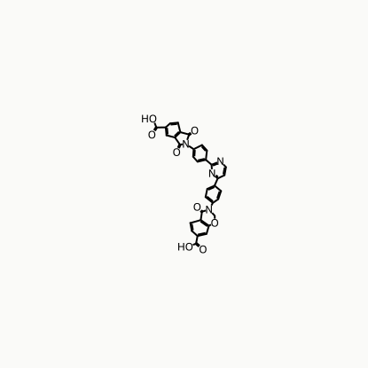 O=C(O)c1ccc2c(c1)OCN(c1ccc(-c3ccnc(-c4ccc(N5C(=O)c6ccc(C(=O)O)cc6C5=O)cc4)n3)cc1)C2=O